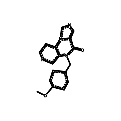 COc1ccc(Cn2c(=O)c3cncn3c3ccncc32)cc1